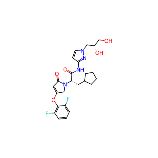 O=C(Nc1ccn(C[C@@H](O)CO)n1)[C@H](CC1CCCC1)N1CC(Oc2c(F)cccc2F)=CC1=O